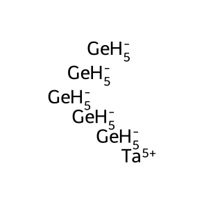 [GeH5-].[GeH5-].[GeH5-].[GeH5-].[GeH5-].[Ta+5]